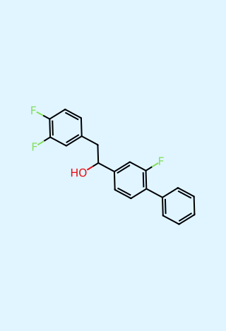 OC(Cc1ccc(F)c(F)c1)c1ccc(-c2ccccc2)c(F)c1